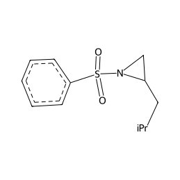 CC(C)CC1CN1S(=O)(=O)c1ccccc1